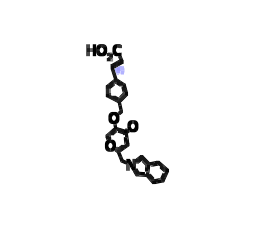 O=C(O)/C=C/c1ccc(COc2coc(Cn3cc4ccccc4c3)cc2=O)cc1